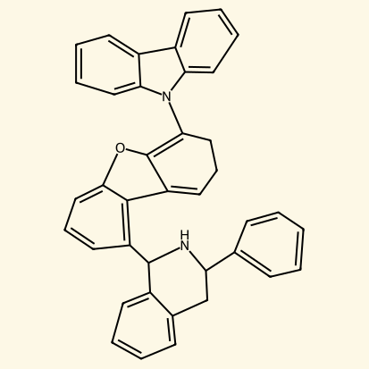 C1=c2c(oc3cccc(C4NC(c5ccccc5)Cc5ccccc54)c23)=C(n2c3ccccc3c3ccccc32)CC1